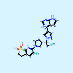 O=S1(=O)CCc2cc(F)c(N3CC[C@H](C(CF)n4cc(-c5ncnc6[nH]ccc56)cn4)C3)nc21